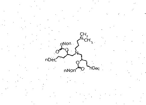 CCCCCCCCCCCCC(CN(CCCN(C)C)CC(CCCCCCCCCCCC)OC(=O)CCCCCCCCC)OC(=O)CCCCCCCCC